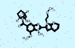 COCCn1c(-c2nc3cc(C(=O)N4C[C@H]5CC[C@@H]4C5N)cc(OC)c3n2C)cc2cccnc21